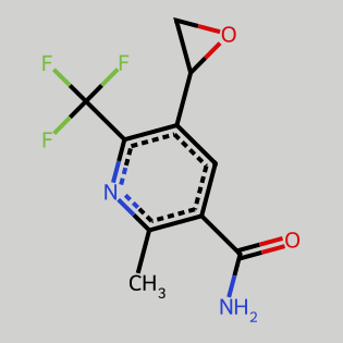 Cc1nc(C(F)(F)F)c(C2CO2)cc1C(N)=O